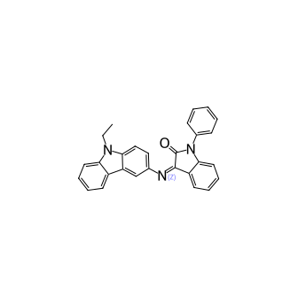 CCn1c2ccccc2c2cc(/N=C3\C(=O)N(c4ccccc4)c4ccccc43)ccc21